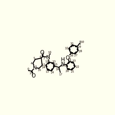 CC(=O)N1CCC(C(=O)N(C)c2cccc(C(C)Nc3ccccc3Oc3ccc(I)cc3)c2)CC1